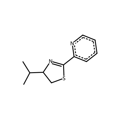 CC(C)C1CSC(c2ccccn2)=N1